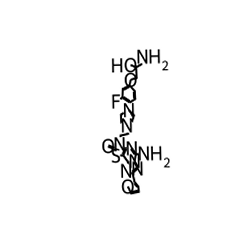 NCC(O)COc1ccc(N2CCN(CCn3c(=O)sc4c3nc(N)n3nc(-c5ccco5)nc43)CC2)c(F)c1